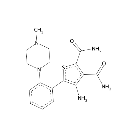 CN1CCN(c2ccccc2-c2sc(C(N)=O)c(C(N)=O)c2N)CC1